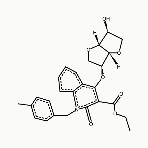 CCOC(=O)c1c(O[C@H]2CO[C@H]3[C@@H]2OC[C@@H]3O)c2ccccc2n(Cc2ccc(C)cc2)c1=O